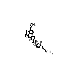 CCCCCc1ccc(OC(F)(F)c2ccc3c(c2F)C(F)(F)C(F)(F)c2c-3ccc(CCC)c2F)c(F)c1F